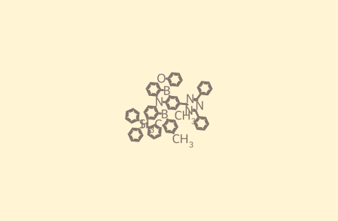 Cc1cc(C)c(B2c3cc([Si](c4ccccc4)(c4ccccc4)c4ccccc4)ccc3N3c4cccc5c4B(c4ccccc4O5)c4cc(-c5nc(-c6ccccc6)nc(-c6ccccc6)n5)cc2c43)c(C)c1